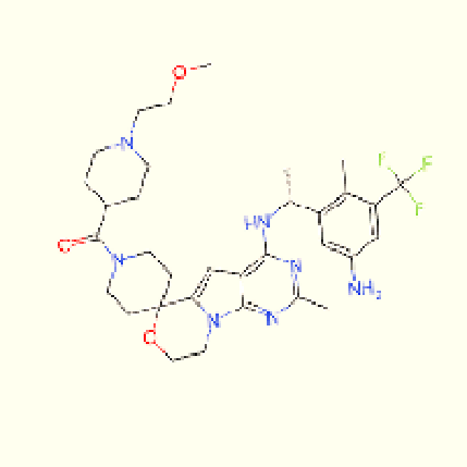 COCCN1CCC(C(=O)N2CCC3(CC2)OCCn2c3cc3c(N[C@H](C)c4cc(N)cc(C(F)(F)F)c4C)nc(C)nc32)CC1